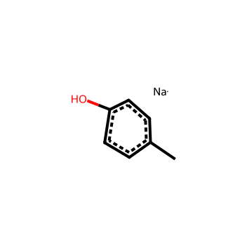 Cc1ccc(O)cc1.[Na]